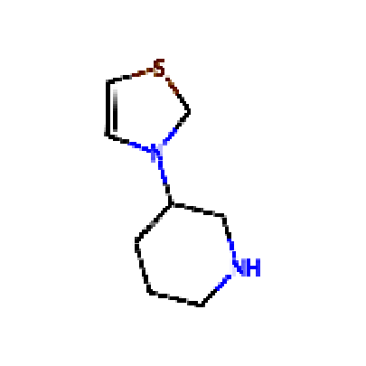 C1=CN(C2CCCNC2)CS1